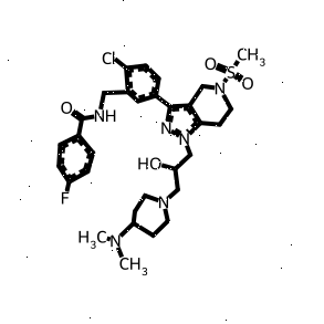 CN(C)C1CCN(CC(O)Cn2nc(-c3ccc(Cl)c(CNC(=O)c4ccc(F)cc4)c3)c3c2CCN(S(C)(=O)=O)C3)CC1